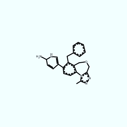 Cc1nnc2n1-c1ccc(C3=CNC(N)C=C3)c(Cc3ccccc3)c1COC2